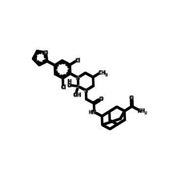 CC1CN(CC(=O)NC2C3CC4CC2CC(C(N)=O)(C4)C3)S(O)(O)N(c2c(Cl)cc(-c3ccco3)cc2Cl)C1